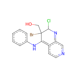 OCC1(Br)C(Nc2ccccc2)=c2ccncc2=NC1Cl